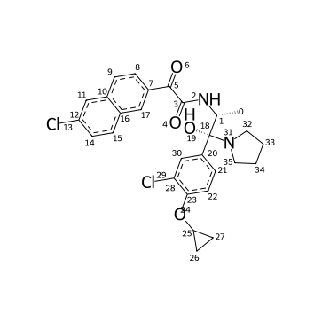 C[C@@H](NC(=O)C(=O)c1ccc2cc(Cl)ccc2c1)[C@](O)(c1ccc(OC2CC2)c(Cl)c1)N1CCCC1